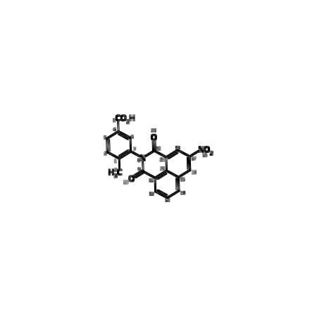 Cc1ccc(C(=O)O)cc1N1C(=O)c2cccc3cc([N+](=O)[O-])cc(c23)C1=O